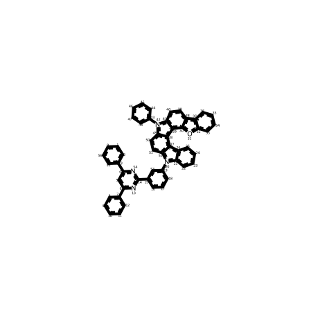 c1ccc(-c2cc(-c3ccccc3)nc(-c3cccc(-n4c5ccccc5c5c6c7c8oc9ccccc9c8ccc7n(-c7ccccc7)c6ccc54)c3)n2)cc1